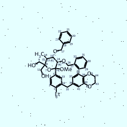 CCc1ccc(C2(OC)OC(CO)(CO)[C@@H](C)[C@H](OCc3ccccc3)[C@H]2OCc2ccccc2)cc1Cc1ccc2c(c1)OCCO2